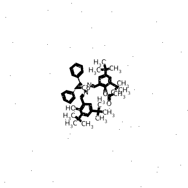 CC(=O)Oc1c(C=[N][Co]2([N]=Cc3cc(C(C)(C)C)cc(C(C)(C)C)c3O)[C@H](c3ccccc3)[C@H]2c2ccccc2)cc(C(C)(C)C)cc1C(C)(C)C